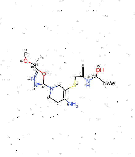 C=C(CSC1=C(N)CCN(c2nnc([C@@H](C)OCC)o2)C1)NC(O)NC